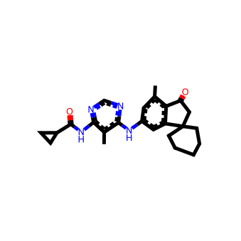 Cc1cc(Nc2ncnc(NC(=O)C3CC3)c2C)cc2c1C(=O)CC21CCCCC1